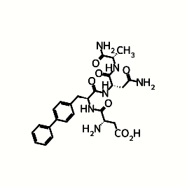 C[C@H](NC(=O)[C@H](CC(N)=O)NC(=O)[C@H](Cc1ccc(-c2ccccc2)cc1)NC(=O)[C@@H](N)CC(=O)O)C(N)=O